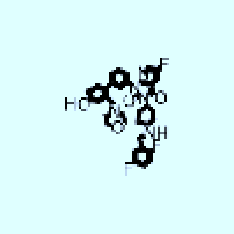 O=c1c2cc(F)cnc2n(-c2cccc(-c3ccc(O)cc3CN3CCOCC3)c2)c(=O)n1C1CCC(NCc2cc(F)ccc2F)CC1